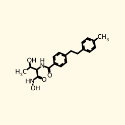 Cc1ccc(CCc2ccc(C(=O)NC(C(=O)NO)C(C)O)cc2)cc1